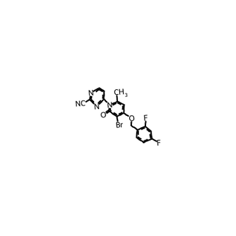 Cc1cc(OCc2ccc(F)cc2F)c(Br)c(=O)n1-c1ccnc(C#N)n1